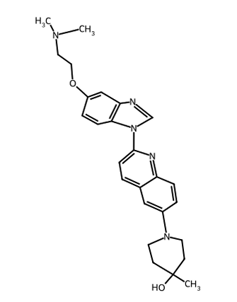 CN(C)CCOc1ccc2c(c1)ncn2-c1ccc2cc(N3CCC(C)(O)CC3)ccc2n1